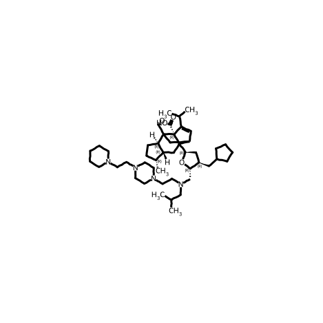 CC(C)CN(CCN1CCN(CCN2CCCCC2)CC1)C[C@@H]1O[C@@H](C23C[C@@H]4[C@H](C)CC[C@H]4C4(C=O)CC2C=C(C(C)C)[C@]43C(=O)O)C[C@H]1CC1CCCC1